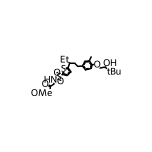 CCC(CCc1ccc(OCC(O)C(C)(C)C)c(C)c1)c1ccc(S(=O)(=O)NCC(=O)OC)s1